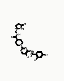 C[C@@H](Nc1nc(N2CCC(C(=O)NC[C@H]3CCC(=O)N3)CC2)ncc1Cl)c1ccc(Cl)cc1Cl